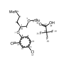 CNCC[C@@H](COC(C)(C)C)Oc1ccc(Cl)cc1Cl.O=C(O)C(F)(F)F